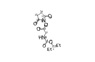 CCC(CC)OC(=O)NCC(=O)ON1C(=O)CCC1=O